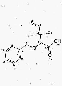 C=CC(F)(F)C(OCc1ccccc1)C(=O)O